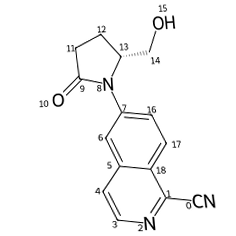 N#Cc1nccc2cc(N3C(=O)CC[C@@H]3CO)ccc12